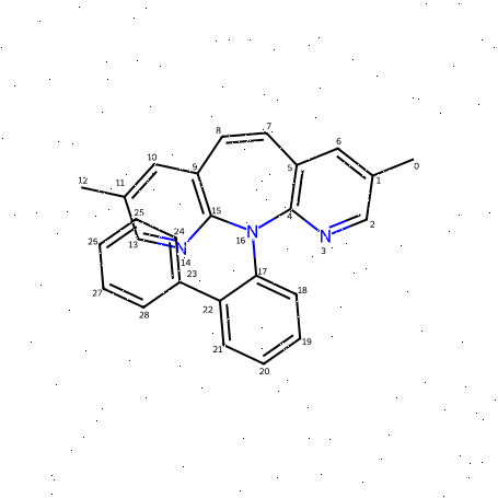 Cc1cnc2c(c1)C=Cc1cc(C)cnc1N2c1ccccc1-c1ccccc1